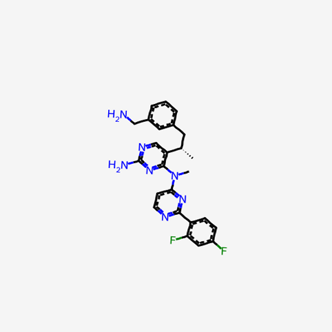 C[C@@H](Cc1cccc(CN)c1)c1cnc(N)nc1N(C)c1ccnc(-c2ccc(F)cc2F)n1